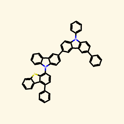 c1ccc(-c2ccc3c(c2)c2cc(-c4ccc5c(c4)c4ccccc4n5-c4ccc(-c5ccccc5)c5c4sc4ccccc45)ccc2n3-c2ccccc2)cc1